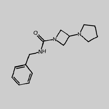 O=C(NCc1ccccc1)N1CC(N2CCCC2)C1